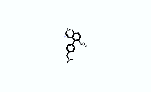 CC(=O)/C=C\c1c(C)ccc([N+](=O)[O-])c1-c1ccc(CN(C)C)cc1